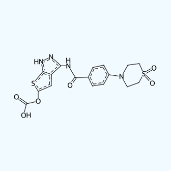 O=C(O)Oc1cc2c(NC(=O)c3ccc(N4CCS(=O)(=O)CC4)cc3)n[nH]c2s1